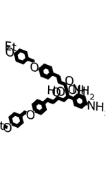 CCOC1CCC(COc2ccc(C=CC(=O)CC(c3ccc(N)cc3N)C(O)(O)C(=O)C=Cc3ccc(OCC4CCC(OCC)CC4)cc3)cc2)CC1